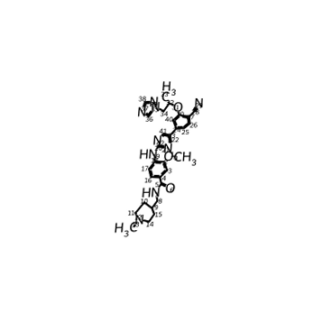 COc1cc(C(=O)NCC2CCN(C)CC2)ccc1Nc1ncc(-c2ccc(C#N)c(OC(C)Cn3cncn3)c2)cn1